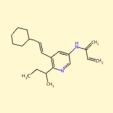 C=CC(=C)Nc1cnc(C(C)CC)c(/C=C/C2CCCCC2)c1